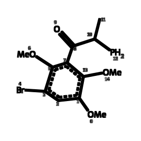 COc1cc(Br)c(OC)c(C(=O)C(C)P)c1OC